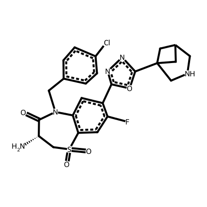 N[C@H]1CS(=O)(=O)c2cc(F)c(-c3nnc(C45CNCC(C4)C5)o3)cc2N(Cc2ccc(Cl)cc2)C1=O